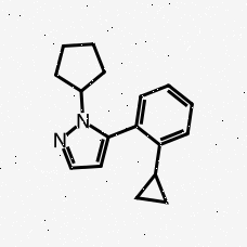 c1ccc(C2CC2)c(-c2ccnn2C2CCCC2)c1